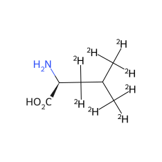 [2H]C([2H])([2H])C(C([2H])([2H])[2H])C([2H])([2H])[C@H](N)C(=O)O